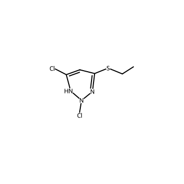 CCSC1=NN(Cl)NC(Cl)=C1